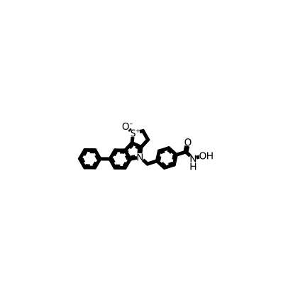 O=C(NO)c1ccc(Cn2c3c(c4cc(-c5ccccc5)ccc42)[S+]([O-])CC3)cc1